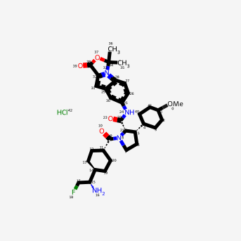 COC1CCC([C@@H]2CCN(C(=O)[C@H]3CC[C@H]([C@H](N)CF)CC3)[C@@H]2C(=O)Nc2ccc3c(c2)cc2n3C(C)(C)OC2=O)CC1.Cl